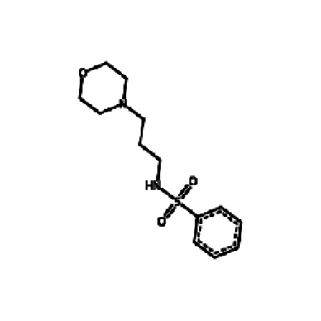 O=S(=O)(NCCCN1CCOCC1)c1ccccc1